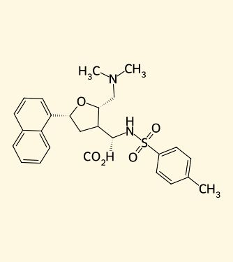 Cc1ccc(S(=O)(=O)N[C@H](C(=O)O)C2C[C@H](c3cccc4ccccc34)O[C@@H]2CN(C)C)cc1